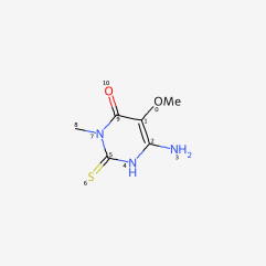 COc1c(N)[nH]c(=S)n(C)c1=O